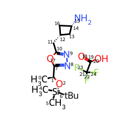 C[C@H](O[Si](C)(C)C(C)(C)C)c1nnc(C[C@H]2C[C@@H](N)C2)o1.O=C(O)C(F)(F)F